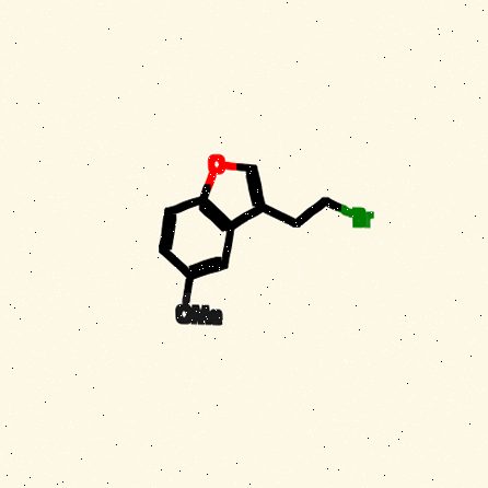 COc1ccc2occ(CCBr)c2c1